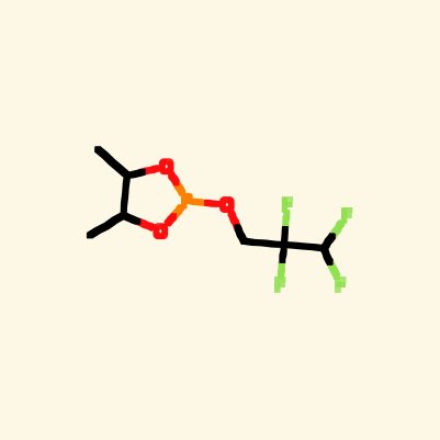 CC1OP(OCC(F)(F)C(F)F)OC1C